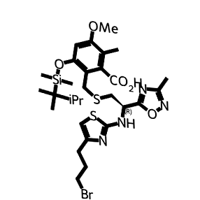 COc1cc(O[Si](C)(C)C(C)(C)C(C)C)c(CSC[C@H](Nc2nc(CCCBr)cs2)c2nc(C)no2)c(C(=O)O)c1C